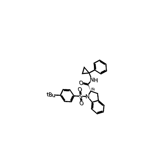 CC(C)(C)c1ccc(S(=O)(=O)N2c3ccccc3C[C@H]2C(=O)NC2(c3ccccc3)CC2)cc1